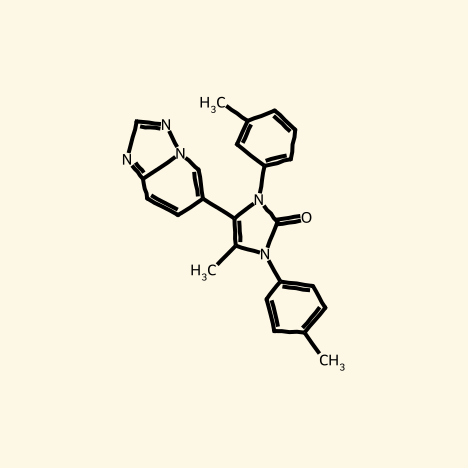 Cc1ccc(-n2c(C)c(-c3ccc4ncnn4c3)n(-c3cccc(C)c3)c2=O)cc1